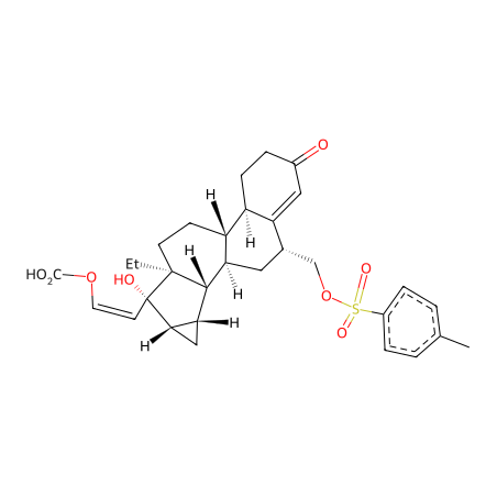 CC[C@]12CC[C@H]3[C@@H](C[C@@H](COS(=O)(=O)c4ccc(C)cc4)C4=CC(=O)CC[C@@H]43)[C@@H]1[C@@H]1C[C@@H]1[C@@]2(O)/C=C\OC(=O)O